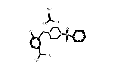 CC(=O)O.CC(C)c1ccc([O-])c(CN2CCN(S(=O)(=O)c3ccccc3)CC2)c1.[Na+]